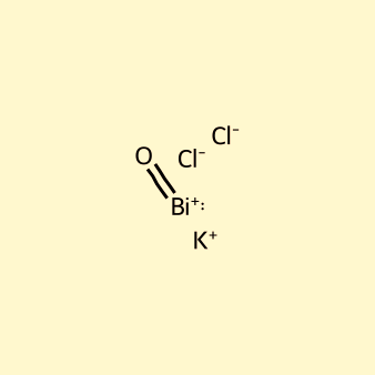 [Cl-].[Cl-].[K+].[O]=[Bi+]